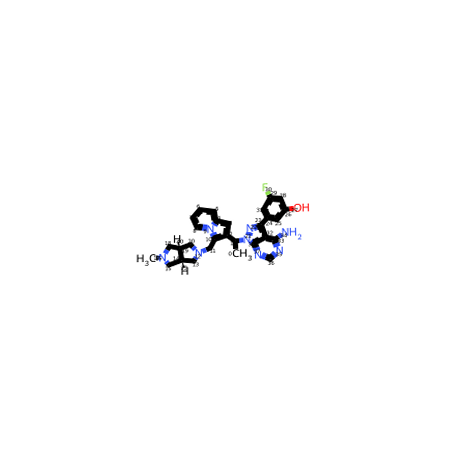 CC(c1cc2ccccn2c1CN1C[C@H]2CN(C)C[C@H]2C1)n1nc(-c2cc(O)cc(F)c2)c2c(N)ncnc21